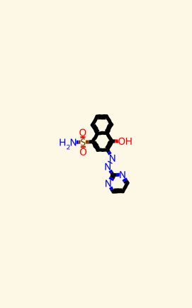 NS(=O)(=O)c1cc(N=Nc2ncccn2)c(O)c2ccccc12